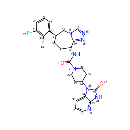 O=C(N[C@@H]1CC[C@@H](c2cccc(F)c2F)Cn2cnnc21)N1CCC(n2c(=O)[nH]c3ncccc32)CC1